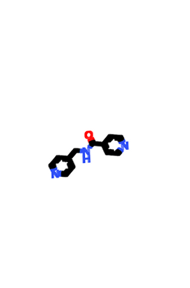 O=C(NCc1ccncc1)c1ccncc1